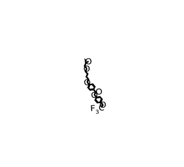 O=C(Oc1ccc(OC(F)(F)F)cc1)c1ccc(OCCCCOCC2CO2)cc1